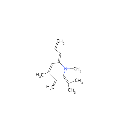 C=C/C=C(\C=C(\C)C=C)N(C)C=C(C)C